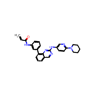 C=CC(=O)Nc1cccc(-c2cccc3cnc(Nc4ccc(N5CCCCC5)nc4)nc23)c1